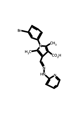 Cc1c(C=NNc2ccccn2)c(C(=O)O)c(C)n1-c1cccc(Br)c1